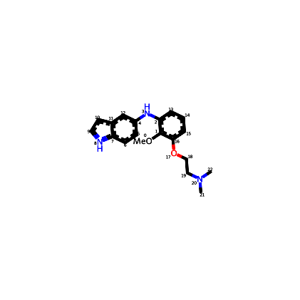 COc1c(Nc2ccc3[nH]ccc3c2)cccc1OCCN(C)C